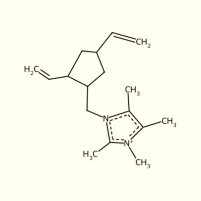 C=CC1CC(C=C)C(Cn2c(C)c(C)[n+](C)c2C)C1